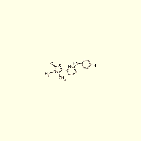 Cc1c(-c2ccnc(Nc3ccc(I)cc3)n2)sc(=O)n1C